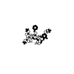 Cc1cc(O[Si](C)(C)C(C)(C)C)cc(C)c1C[C@@H](CO)NC(=O)[C@@H](CCN/C(=N\C(=O)OC(C)(C)C)NC(=O)OC(C)(C)C)NC(=O)OCc1ccccc1